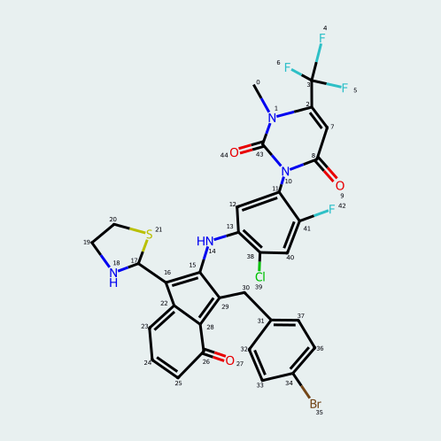 Cn1c(C(F)(F)F)cc(=O)n(-c2cc(NC3=C(C4NCCS4)C4=CC=CC(=O)C4=C3Cc3ccc(Br)cc3)c(Cl)cc2F)c1=O